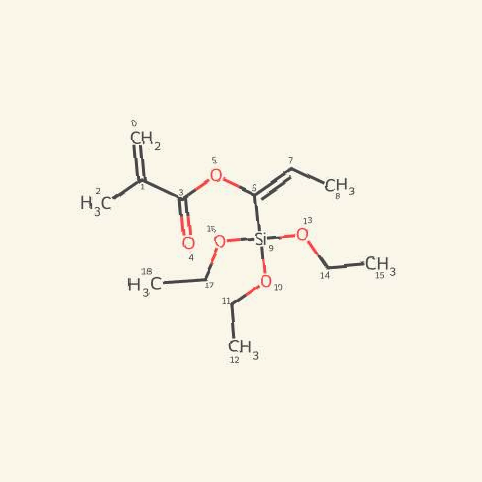 C=C(C)C(=O)OC(=CC)[Si](OCC)(OCC)OCC